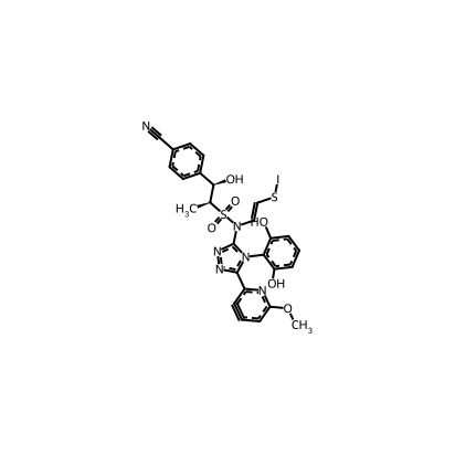 COc1cc#cc(-c2nnc(N(/C=C/SI)S(=O)(=O)[C@@H](C)[C@H](O)c3ccc(C#N)cc3)n2-c2c(O)cccc2O)n1